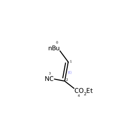 CCCC/C=C(\C#N)C(=O)OCC